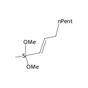 CCCCCCC=C[Si](C)(OC)OC